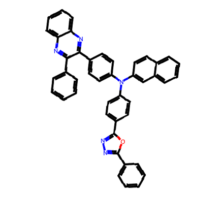 c1ccc(-c2nnc(-c3ccc(N(c4ccc(-c5nc6ccccc6nc5-c5ccccc5)cc4)c4ccc5ccccc5c4)cc3)o2)cc1